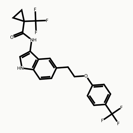 O=C(Nc1c[nH]c2ccc(CCOc3ccc(C(F)(F)F)cc3)cc12)C1(C(F)(F)F)CC1